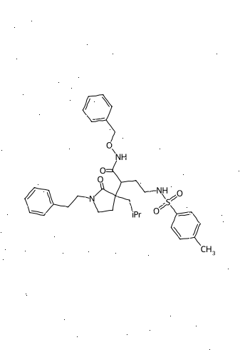 Cc1ccc(S(=O)(=O)NCCC(C(=O)NOCc2ccccc2)C2(CC(C)C)CCN(CCc3ccccc3)C2=O)cc1